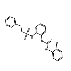 O=C(Nc1ccccc1Br)Nc1ccccc1NS(=O)(=O)CCc1ccccc1